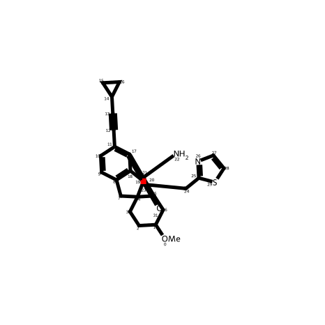 COC1CCC2(CC1)Cc1ccc(C#CC3CC3)cc1C21N=C(N)N(Cc2nccs2)C1=O